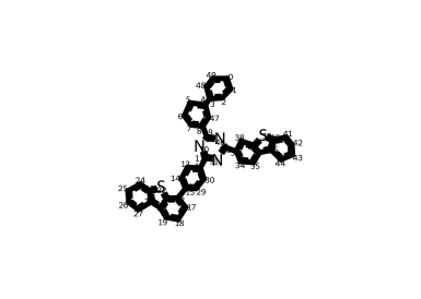 c1ccc(-c2cccc(-c3nc(-c4ccc(-c5cccc6c5sc5ccccc56)cc4)nc(-c4ccc5c(c4)sc4ccccc45)n3)c2)cc1